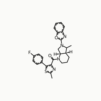 Cc1nc(C(=O)N2CCC[C@H]3C(C)N(c4nc5ccccc5o4)C[C@H]32)c(-c2ccc(F)cc2)s1